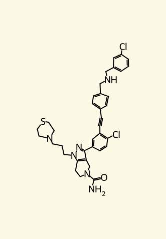 NC(=O)N1CCc2c(c(-c3ccc(Cl)c(C#Cc4ccc(CNCc5cccc(Cl)c5)cc4)c3)nn2CCCN2CCSCC2)C1